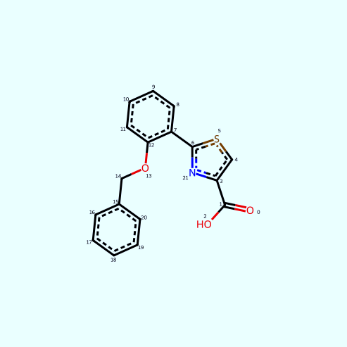 O=C(O)c1csc(-c2ccccc2OCc2ccccc2)n1